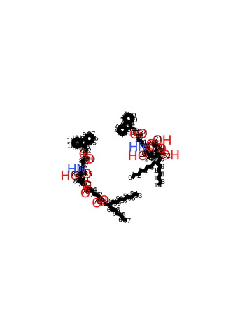 CCCCCCCCC(CCCCCC)CC(CCC(=O)O)(CC(C)(C)C(O)C(=O)NCCC(=O)OCC1c2ccccc2-c2ccccc21)C(=O)O.CCCCCCCCC(CCCCCC)COC(=O)CCCC(=O)OCC(C)(C)C(O)C(=O)NCCC(=O)OCC1c2ccccc2-c2ccccc21